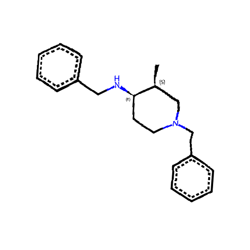 C[C@H]1CN(Cc2ccccc2)CC[C@H]1NCc1ccccc1